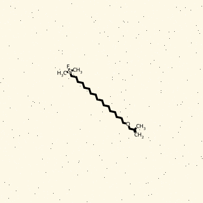 C=C(C)COCCCCCCCCCCCCCCCCC[Si](C)(C)F